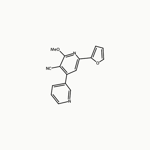 COc1nc(-c2ccco2)cc(-c2cccnc2)c1C#N